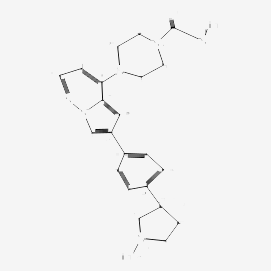 CC(C)NC(=O)N1CCN(c2ccnn3cc(-c4ccc([C@@]5(O)CCN(C(C)C)C5)cc4)cc23)CC1